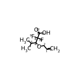 C=CCOC(C(C)C)C(F)(F)C(=O)O